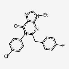 CCn1cnc2c(=O)n(-c3ccc(Cl)cc3)c(Cc3ccc(F)cc3)nc21